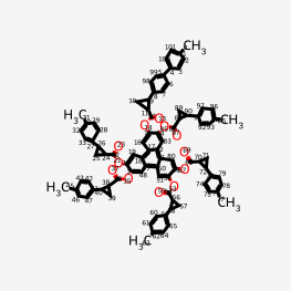 Cc1ccc(-c2ccc(C3CC3C(=O)Oc3cc4c5cc(OC(=O)C6CC6c6ccc(C)cc6)c(OC(=O)C6CC6c6ccc(C)cc6)cc5c5cc(OC(=O)C6CC6c6ccc(C)cc6)c(OC(=O)C6CC6c6ccc(C)cc6)cc5c4cc3OC(=O)C3CC3c3ccc(C)cc3)cc2)cc1